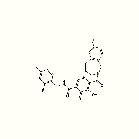 Cc1ccc(CNC(=O)c2cn3c(c(O)c2=O)C(=O)N2Cc4ccc(Cl)cc4CC3C2)c(F)c1